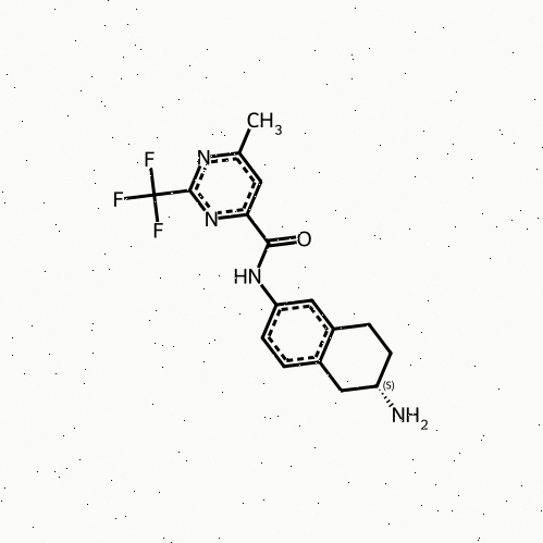 Cc1cc(C(=O)Nc2ccc3c(c2)CC[C@H](N)C3)nc(C(F)(F)F)n1